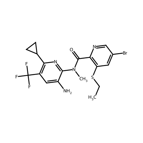 CCSc1cc(Br)cnc1C(=O)N(C)c1nc(C2CC2)c(C(F)(F)F)cc1N